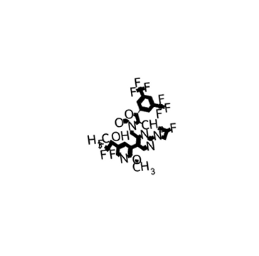 COc1ncc(C(C)(O)C(F)(F)F)cc1-c1cnc(N2CC(F)C2)nc1CN1C(=O)O[C@H](c2cc(C(F)(F)F)cc(C(F)(F)F)c2)[C@@H]1C